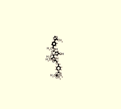 Cc1ncsc1-c1ccc([C@H](C)NC(=O)[C@@H]2C[C@@H](O)CN2C(=O)[C@@H](NC(=O)COCC2CCN(C(=O)OC(C)(C)C)CC2)C(C)(C)C)cc1